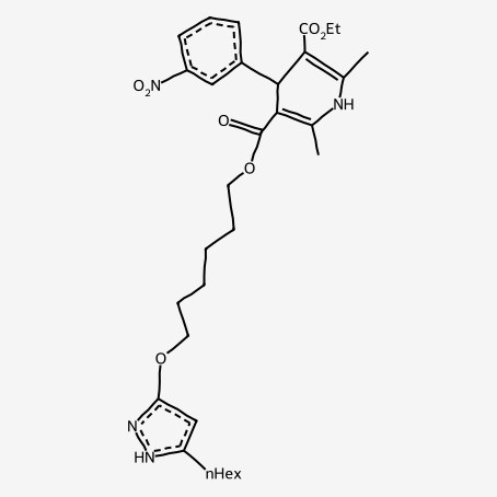 CCCCCCc1cc(OCCCCCCOC(=O)C2=C(C)NC(C)=C(C(=O)OCC)C2c2cccc([N+](=O)[O-])c2)n[nH]1